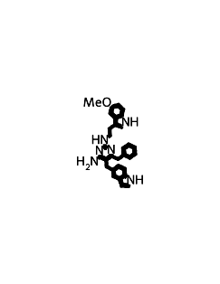 COc1ccc2[nH]cc(CCNc3nc(N)c(Cc4ccc5[nH]ccc5c4)c(Cc4ccccc4)n3)c2c1